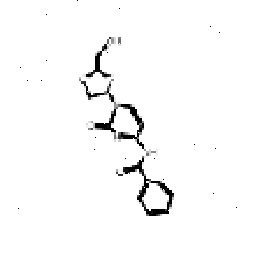 O=C(Nc1ccn(C2COC(CO)S2)c(=O)n1)c1ccccc1